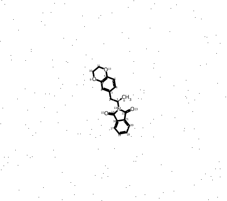 C[C@H](Cc1ccc2c(c1)OCCO2)N1C(=O)c2ccccc2C1=O